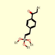 CCO[Si](/C=C/c1ccc(C(=O)CC(C)=O)cc1)(OCC)OCC